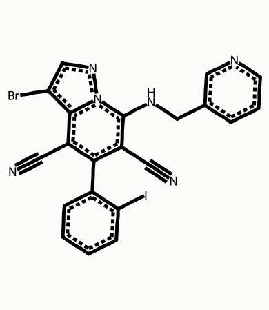 N#Cc1c(-c2ccccc2I)c(C#N)c2c(Br)cnn2c1NCc1cccnc1